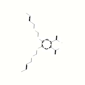 CC=CCOCOc1cc(C(=O)O)c(C(=O)Cl)cc1OCOCC=CC